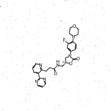 O=C(CCc1ncccc1-c1ncccn1)NC[C@H]1CN(c2ccc(N3CCOCC3)c(F)c2)C(=O)O1